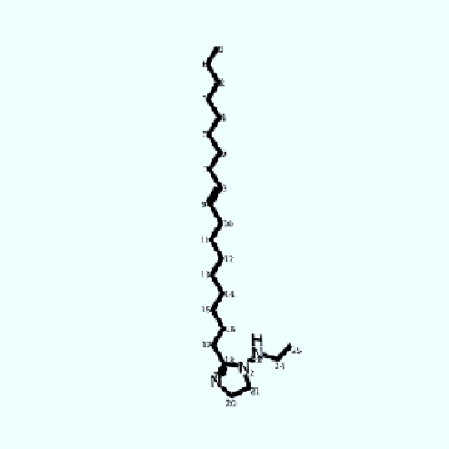 CCCCCCCCC=CCCCCCCCCC1=NCCN1NCC